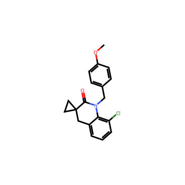 COc1ccc(CN2C(=O)C3(CC3)Cc3cccc(Cl)c32)cc1